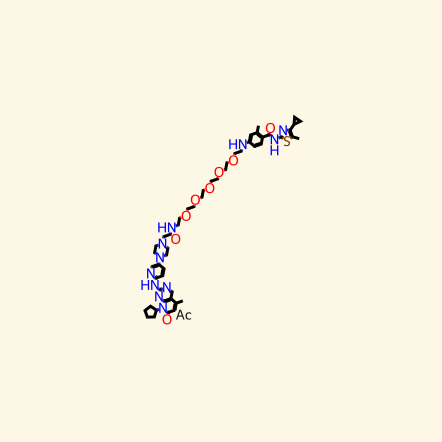 CC(=O)c1c(C)c2cnc(Nc3ccc(N4CCN(CC(=O)NCCOCCOCCOCCOCCOCCNc5ccc(C(=O)Nc6nc(C7CC7)c(C)s6)c(C)c5)CC4)cn3)nc2n(C2CCCC2)c1=O